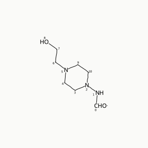 O=[C]NN1CCN(CCO)CC1